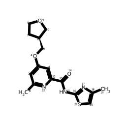 Cc1cc(OC[C@H]2CCOC2)cc(C(=O)Nc2nc(C)cs2)n1